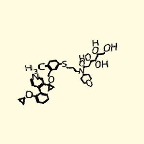 Cc1ccc(SCCCN(C(=O)CC(O)C(O)C(O)CO)C2CCOCC2)cc1COC1(c2cnccc2-c2ccccc2OC2CC2)CC1